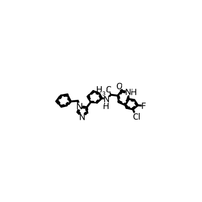 C[C@H](Nc1cccc(-c2cncn2Cc2ccccc2)c1)c1cc2cc(Cl)c(F)cc2[nH]c1=O